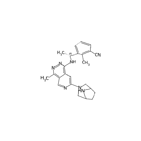 Cc1c(C#N)cccc1[C@@H](C)Nc1nnc(C)c2cnc(N3CC4CCC(C3)N4)cc12